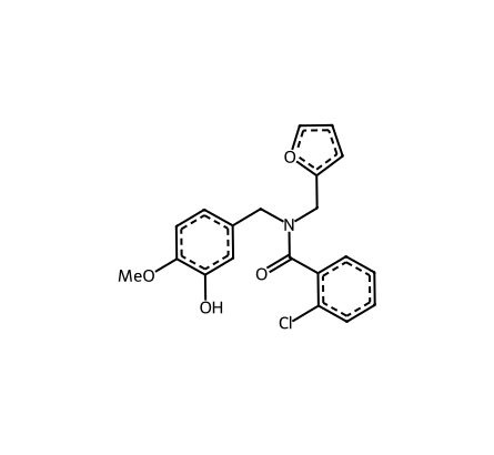 COc1ccc(CN(Cc2ccco2)C(=O)c2ccccc2Cl)cc1O